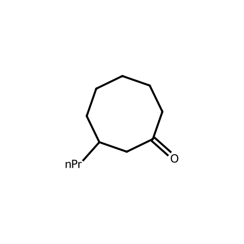 CCCC1CCCCCC(=O)C1